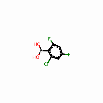 OB(O)c1c(F)cc(F)cc1Cl